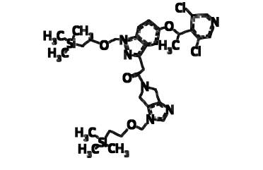 CC(Oc1ccc2c(c1)c(CC(=O)N1Cc3ncn(COCC[Si](C)(C)C)c3C1)nn2COCC[Si](C)(C)C)c1c(Cl)cncc1Cl